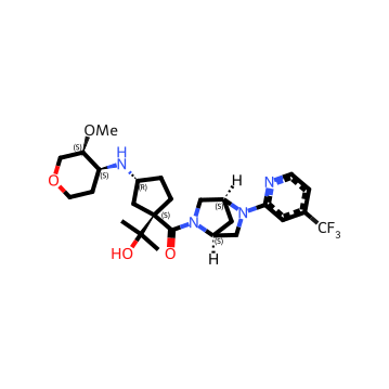 CO[C@@H]1COCC[C@@H]1N[C@@H]1CC[C@@](C(=O)N2C[C@@H]3C[C@H]2CN3c2cc(C(F)(F)F)ccn2)(C(C)(C)O)C1